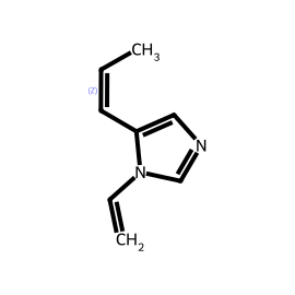 C=Cn1cncc1/C=C\C